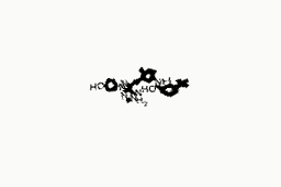 Cc1ccc(NC(O)c2cccc(C(C)(C)C)c2)cc1C#Cc1nn([C@H]2CC[C@H](O)CC2)c2ncnc(N)c12